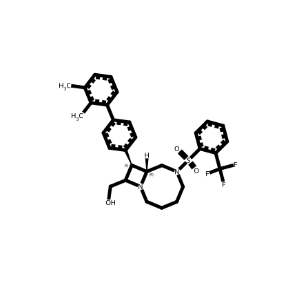 Cc1cccc(-c2ccc([C@@H]3C(CO)N4CCCCN(S(=O)(=O)c5ccccc5C(F)(F)F)C[C@@H]34)cc2)c1C